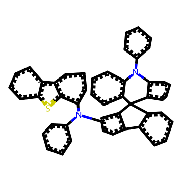 c1ccc(N2c3ccccc3C3(c4ccccc4-c4ccc(N(c5ccccc5)c5cccc6c5sc5ccccc56)cc43)c3ccccc32)cc1